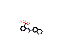 C/C(=C\c1ccccc1C(=O)O)c1ccc2c(c1)CCCC2